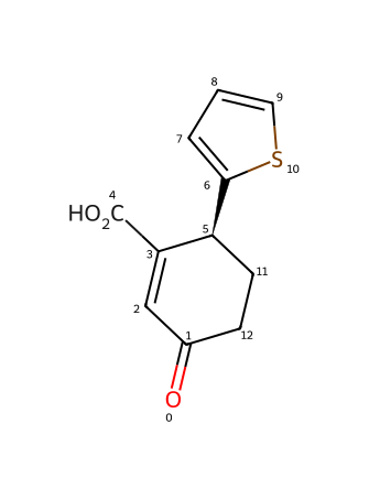 O=C1C=C(C(=O)O)[C@@H](c2cccs2)CC1